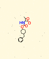 CC1OC(=O)C1NC(=O)OC1CCC(Cc2ccccc2)CC1